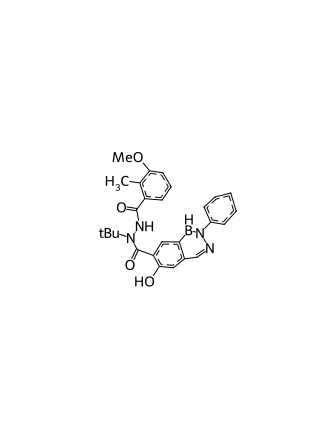 COc1cccc(C(=O)NN(C(=O)c2cc3c(cc2O)C=NN(c2ccccc2)B3)C(C)(C)C)c1C